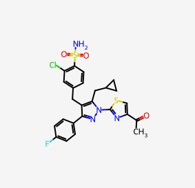 CC(=O)c1csc(-n2nc(-c3ccc(F)cc3)c(Cc3ccc(S(N)(=O)=O)c(Cl)c3)c2CC2CC2)n1